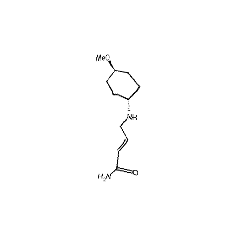 CO[C@H]1CC[C@H](NCC=CC(N)=O)CC1